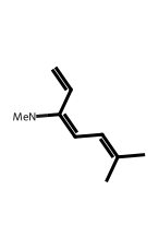 C=C/C(=C\C=C(C)C)NC